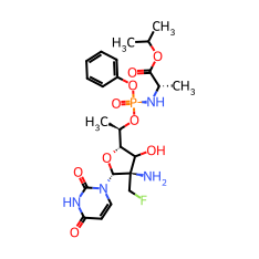 CC(C)OC(=O)[C@H](C)N[P@@](=O)(Oc1ccccc1)O[C@H](C)[C@H]1O[C@@H](n2ccc(=O)[nH]c2=O)[C@@](N)(CF)C1O